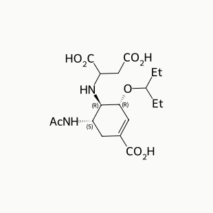 CCC(CC)O[C@@H]1C=C(C(=O)O)C[C@H](NC(C)=O)[C@H]1NC(CC(=O)O)C(=O)O